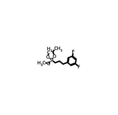 CCO[Si](CCCc1cc(F)cc(F)c1)(OC)OC